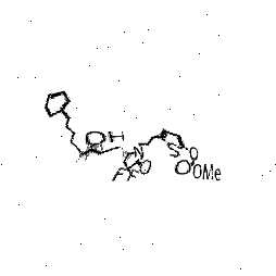 COC(=O)Oc1ccc(CCCN2C(=O)C(F)(F)C[C@@H]2CC[C@@H](O)[C@H](C)CCCCc2ccccc2)s1